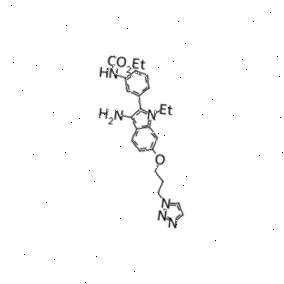 CCOC(=O)Nc1cccc(-c2c(N)c3ccc(OCCCn4ccnn4)cc3n2CC)c1